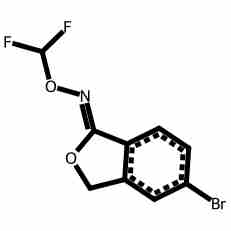 FC(F)O/N=C1\OCc2cc(Br)ccc21